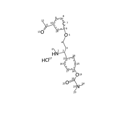 CNC(CCOc1cccc(C(C)=O)c1)c1ccc(OC(=O)N(C)C)cc1.Cl